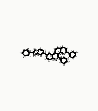 c1ccc(-c2ccc3ccc4c5cc(-c6ccn7cc(-c8ccccc8)nc7c6)ccc5nc(-c5ccccc5)c4c3n2)cc1